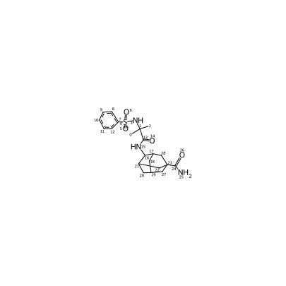 CC(C)(NS(=O)(=O)c1ccccc1)C(=O)NC1C2CC3CC1CC(C(N)=O)(C3)C2